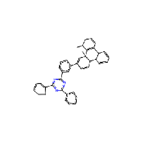 CC1CC=CC2=C1C1(C)C=C(c3cccc(-c4nc(C5=CC=CCC5)nc(-c5ccccc5)n4)c3)C=CC1C1C=CC=CC21